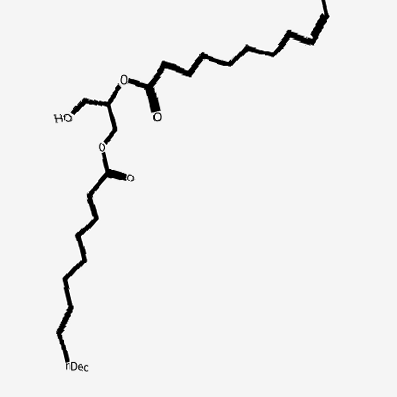 CCCCCCCC/C=C\CCCCCCCC(=O)OC(CO)COC(=O)CCCCCCCCCCCCCCCCC